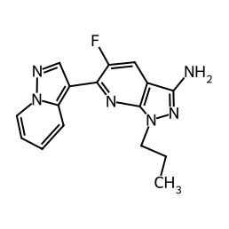 CCCn1nc(N)c2cc(F)c(-c3cnn4ccccc34)nc21